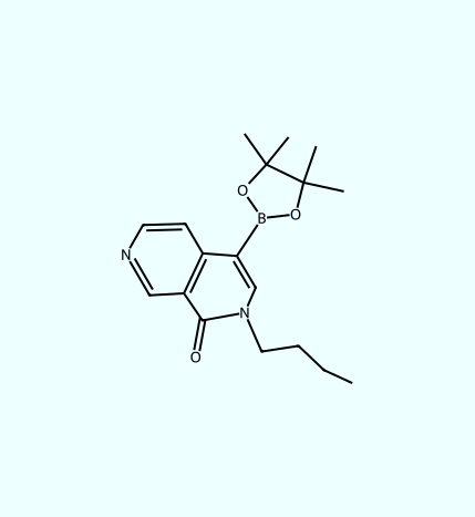 CCCCn1cc(B2OC(C)(C)C(C)(C)O2)c2ccncc2c1=O